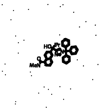 CNC(=O)c1[c]ccc2cc(C(O)(c3cn(C(c4ccccc4)(c4ccccc4)c4ccccc4)cn3)C(C)C)ccc12